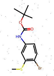 CSc1cc(NC(=O)OC(C)(C)C)ccc1Br